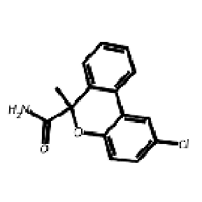 CC1(C(N)=O)Oc2ccc(Cl)cc2-c2ccccc21